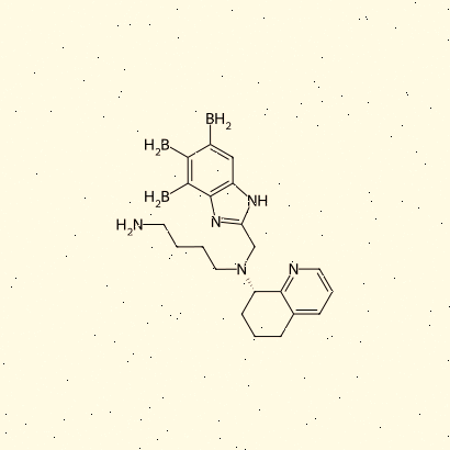 Bc1cc2[nH]c(CN(CCCCN)[C@H]3CCCc4cccnc43)nc2c(B)c1B